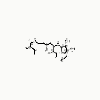 CC[C@@H](C)C(C[C@H](O)CCO[C@@H](C)[C@H](C)CC)O[C@@H]1O[C@@H](CO)[C@H](O)[C@H]1O